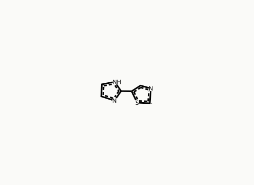 [c]1ncc(-c2ncc[nH]2)s1